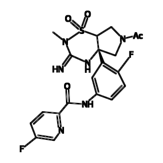 CC(=O)N1CC2[C@](c3cc(NC(=O)c4ccc(F)cn4)ccc3F)(C1)NC(=N)N(C)S2(=O)=O